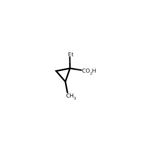 CCC1(C(=O)O)CC1C